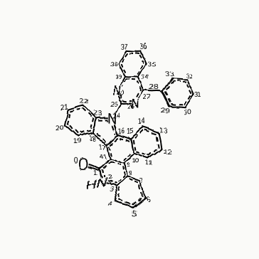 O=c1[nH]c2ccccc2c2c3ccccc3c3c(c4ccccc4n3-c3nc(-c4ccccc4)c4ccccc4n3)c12